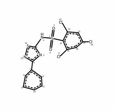 O=S(=O)(Nc1nc(-c2ccccc2)ns1)c1c(Cl)cc(Cl)cc1Cl